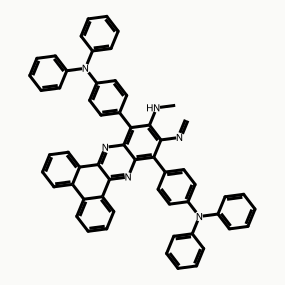 C=Nc1c(NC)c(-c2ccc(N(c3ccccc3)c3ccccc3)cc2)c2nc3c4ccccc4c4ccccc4c3nc2c1-c1ccc(N(c2ccccc2)c2ccccc2)cc1